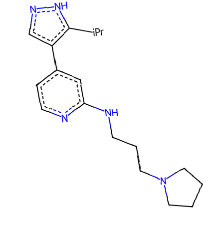 CC(C)c1[nH]ncc1-c1ccnc(NCCCN2CCCC2)c1